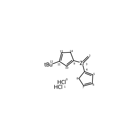 Cl.Cl.[CH2]=[Zr]([C]1=CC=CC1)[C]1=CC(C(C)(C)C)=CC1